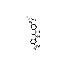 CC(=O)Nc1ccc(NC(=S)Nc2cccc([N+](=O)[O-])c2)cc1